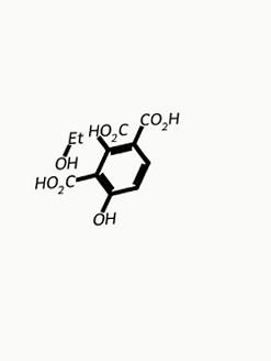 CCO.O=C(O)c1ccc(O)c(C(=O)O)c1C(=O)O